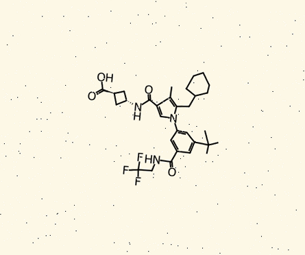 Cc1c(C(=O)N[C@H]2C[C@H](C(=O)O)C2)cn(-c2cc(C(=O)NCC(F)(F)F)cc(C(C)(C)C)c2)c1CC1CCCCC1